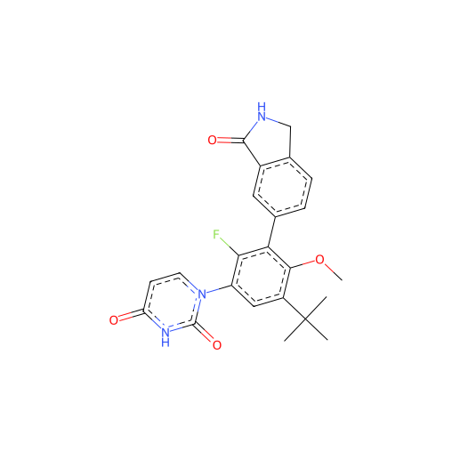 COc1c(C(C)(C)C)cc(-n2ccc(=O)[nH]c2=O)c(F)c1-c1ccc2c(c1)C(=O)NC2